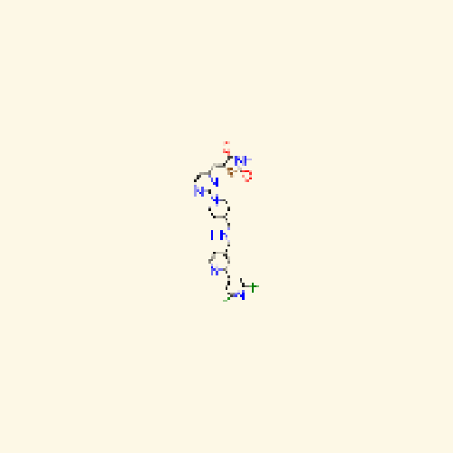 O=C1NC(=O)C(=Cc2ccnc(N3CCC(CNCc4ccnc(-c5cc(F)nc(F)c5)c4)CC3)n2)S1